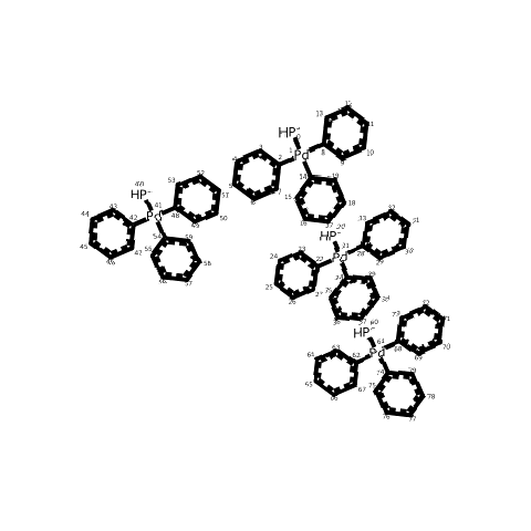 [PH-][Pd]([c]1ccccc1)([c]1ccccc1)[c]1ccccc1.[PH-][Pd]([c]1ccccc1)([c]1ccccc1)[c]1ccccc1.[PH-][Pd]([c]1ccccc1)([c]1ccccc1)[c]1ccccc1.[PH-][Pd]([c]1ccccc1)([c]1ccccc1)[c]1ccccc1